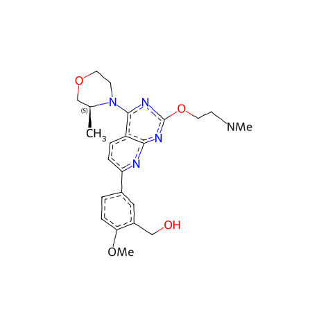 CNCCOc1nc(N2CCOC[C@@H]2C)c2ccc(-c3ccc(OC)c(CO)c3)nc2n1